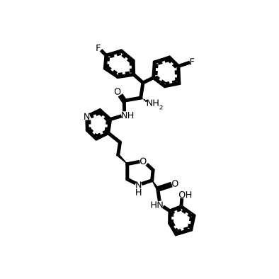 N[C@H](C(=O)Nc1cnccc1CC[C@@H]1CN[C@H](C(=O)Nc2ccccc2O)CO1)C(c1ccc(F)cc1)c1ccc(F)cc1